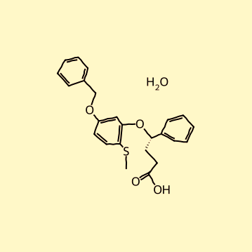 CSc1ccc(OCc2ccccc2)cc1O[C@@H](CCC(=O)O)c1ccccc1.O